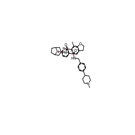 Cc1c(C(=O)NC2CC3CCC(C2)N3c2ccc(C(=O)NCc3ccc(C4CCN(C)CC4)cc3)cn2)ccc2c1OCC2